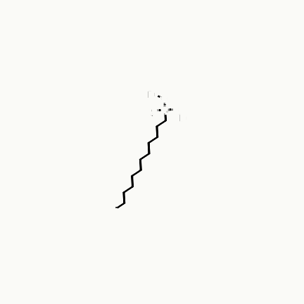 CCO[Si](CCCCCCCCCCCI)(OCC)OCC